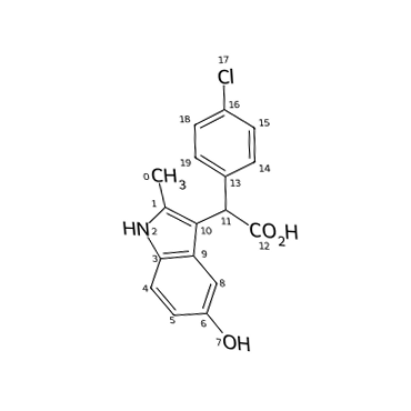 Cc1[nH]c2ccc(O)cc2c1C(C(=O)O)c1ccc(Cl)cc1